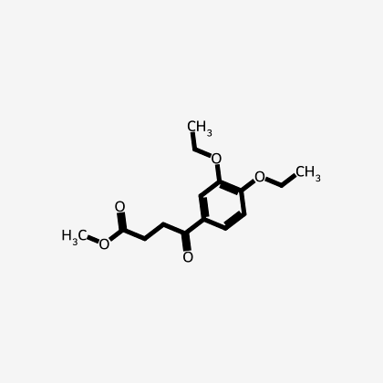 CCOc1ccc(C(=O)CCC(=O)OC)cc1OCC